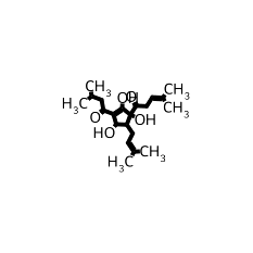 CC(C)=CCC(=O)C1(O)C(O)=C(C(=O)CC(C)C)C(O)C1CC=C(C)C